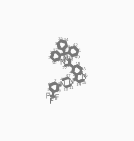 FC(F)(F)c1cccc(N2CCN(c3ccnc4ccc(-c5cnn(C(c6ccccc6)(c6ccccc6)C6C=CC=CC6)c5)cc34)CC2)c1